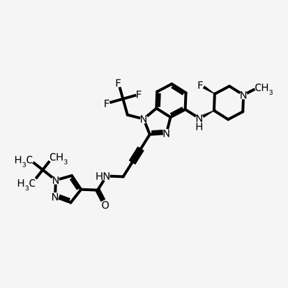 CN1CC[C@@H](Nc2cccc3c2nc(C#CCNC(=O)c2cnn(C(C)(C)C)c2)n3CC(F)(F)F)[C@@H](F)C1